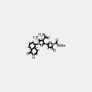 CNC(=O)n1nc(-c2nn(-c3cccc4c(=O)[nH]ccc34)c(C(F)(F)F)c2C(N)=O)cc1Cl